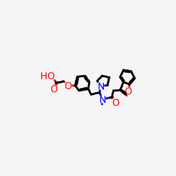 CN(C(=O)Cc1coc2ccccc12)C(Cc1cccc(OCC(=O)O)c1)N1CCCC1